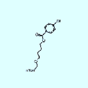 CCCCCCCCCCOCCCCOC(=O)c1ccc(O)cc1